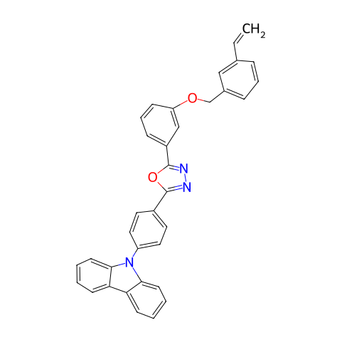 C=Cc1cccc(COc2cccc(-c3nnc(-c4ccc(-n5c6ccccc6c6ccccc65)cc4)o3)c2)c1